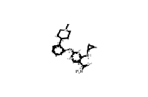 CN1CCC(c2ccccc2Nc2ncc(C(N)=O)c(NC3CC3)n2)CC1